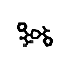 CCC(CC)C(=O)N(c1ccccc1)C1CCC(C(c2ccccc2)N(C)C)CC1